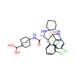 O=C(NC12CCC(C(O)O)(CC1)CC2)[C@@H]1NC2(CCCCC2)[C@@]2(C(=O)Nc3cc(Cl)ccc32)[C@H]1c1cccc(Cl)c1F